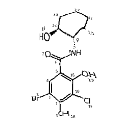 Cc1c(Br)cc(C(=O)N[C@H]2CCCC[C@@H]2O)c(O)c1Cl